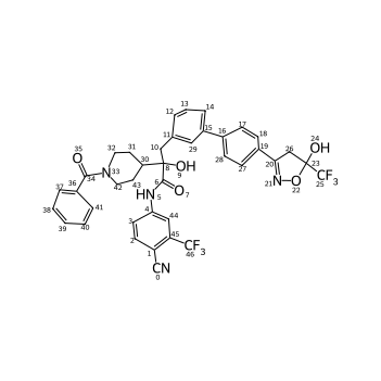 N#Cc1ccc(NC(=O)C(O)(Cc2cccc(-c3ccc(C4=NOC(O)(C(F)(F)F)C4)cc3)c2)C2CCN(C(=O)c3ccccc3)CC2)cc1C(F)(F)F